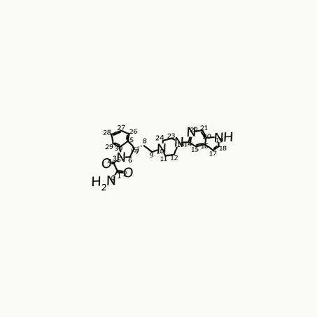 NC(=O)C(=O)N1C[C@@H](CCN2CCN(c3cc4cc[nH]c4cn3)CC2)c2ccccc21